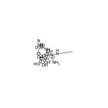 CCCCCCCCCCNCCC(=O)N[C@@H](CCCCN)C(=O)N(C)[C@@H]1C(=O)N[C@@H](C)C(=O)N[C@H](C(=O)NCC#N)Cc2ccc(O)c(c2)-c2cc1ccc2OC1O[C@H](CO)[C@@H](O)[C@H](O)[C@H]1N